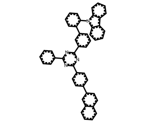 c1ccc(-c2nc(-c3ccc(-c4ccc5ccccc5c4)cc3)nc(-c3cccc(-c4ccccc4-n4c5ccccc5c5ccccc54)c3)n2)cc1